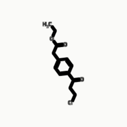 CCOC(=O)Cc1ccc(C(=O)CCCl)cc1